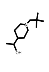 CC(O)C1CCN(CC(C)(C)C)CC1